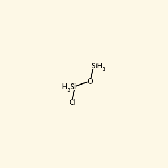 [SiH3]O[SiH2]Cl